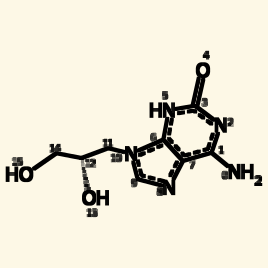 Nc1nc(=O)[nH]c2c1ncn2C[C@H](O)CO